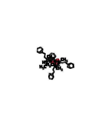 CCCC(C)(CCC1CC2CCC1C2)[Si](C)(C)O[Si](O[Si](C)(C)CCC1CC2C=CC1C2)(O[Si](C)(C)CCC1CC2C=CC1C2)c1ccccc1